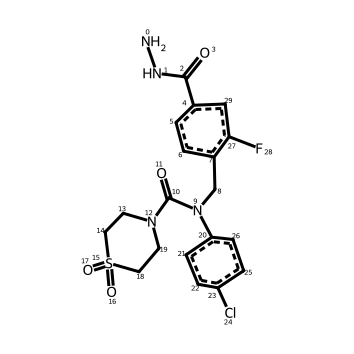 NNC(=O)c1ccc(CN(C(=O)N2CCS(=O)(=O)CC2)c2ccc(Cl)cc2)c(F)c1